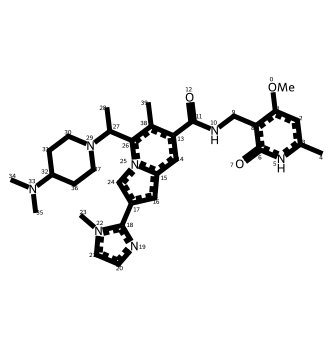 COc1cc(C)[nH]c(=O)c1CNC(=O)c1cc2cc(-c3nccn3C)cn2c(C(C)N2CCC(N(C)C)CC2)c1C